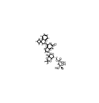 CC1(C)OC2[C@@H](COP(=O)(O)CP(=O)(O)O)O[C@@H](n3cnc4c(N5CC6(CCC6)c6ccccc65)nc(Cl)nc43)[C@H]2O1